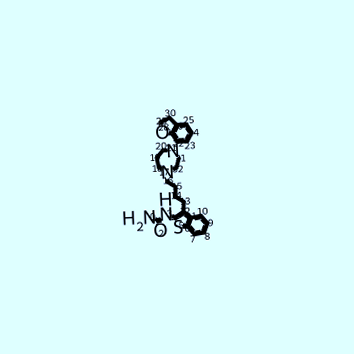 NC(=O)Nc1sc2ccccc2c1CCCCN1CCCN(c2cccc3c2OCC3)CC1